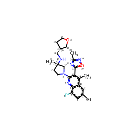 CCc1cc(F)c2nc(N3CC[C@](C)(NC[C@@H]4CCOC4)C3)c(-c3nc(C)no3)c(C)c2c1